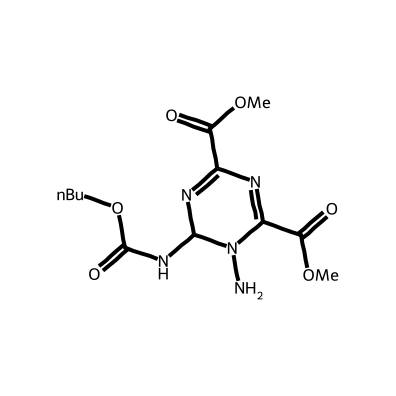 CCCCOC(=O)NC1N=C(C(=O)OC)N=C(C(=O)OC)N1N